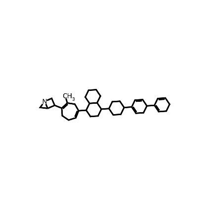 CC1=C(C2CN3CC23)CCC=C(C2CCC(C3CCC(C4=CCC(C5=CCCC=C5)C=C4)CC3)C3CCCCC23)C1